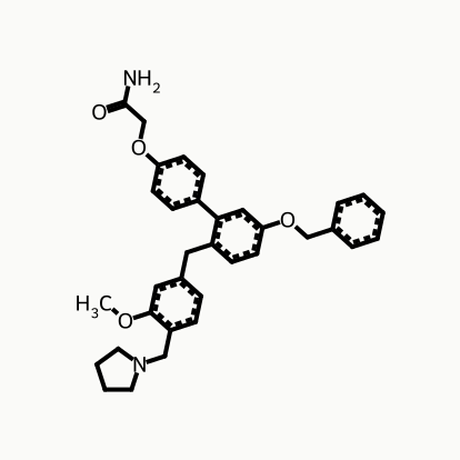 COc1cc(Cc2ccc(OCc3ccccc3)cc2-c2ccc(OCC(N)=O)cc2)ccc1CN1CCCC1